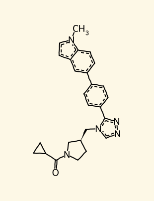 Cn1ccc2cc(-c3ccc(-c4nncn4C[C@H]4CCN(C(=O)C5CC5)C4)cc3)ccc21